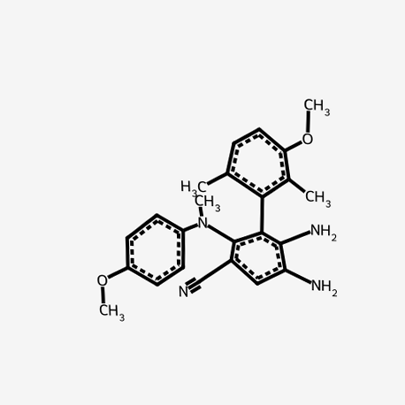 COc1ccc(N(C)c2c(C#N)cc(N)c(N)c2-c2c(C)ccc(OC)c2C)cc1